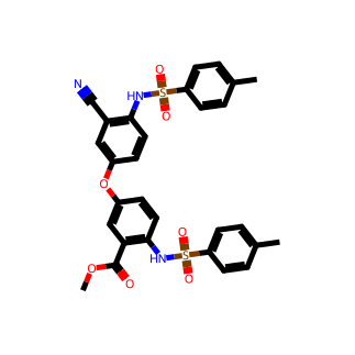 COC(=O)c1cc(Oc2ccc(NS(=O)(=O)c3ccc(C)cc3)c(C#N)c2)ccc1NS(=O)(=O)c1ccc(C)cc1